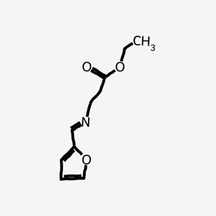 CCOC(=O)CC/N=C/c1ccco1